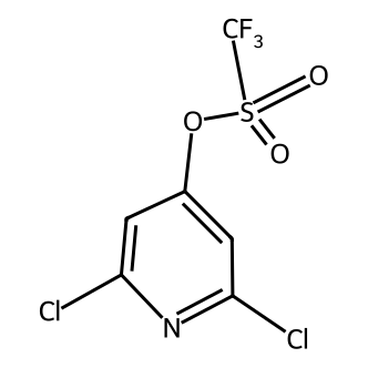 O=S(=O)(Oc1cc(Cl)nc(Cl)c1)C(F)(F)F